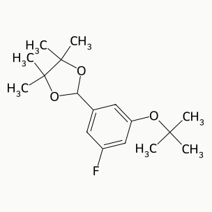 CC(C)(C)Oc1cc(F)cc(C2OC(C)(C)C(C)(C)O2)c1